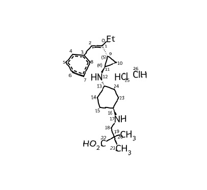 CCC(=Cc1ccccc1)[C@@H]1C[C@H]1N[C@H]1CC[C@H](NCC(C)(C)C(=O)O)CC1.Cl.Cl